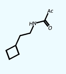 CC(=O)C(=O)NCCC1CCC1